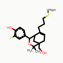 CCCCCCCSCCCC1=CCC2(CO)CC1C(c1ccc(O)c(F)c1)OC2(C)C